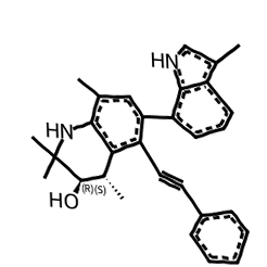 Cc1cc(-c2cccc3c(C)c[nH]c23)c(C#Cc2ccccc2)c2c1NC(C)(C)[C@H](O)[C@H]2C